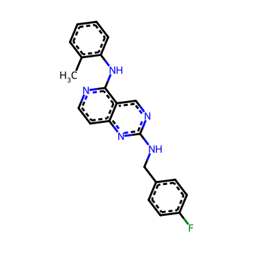 Cc1ccccc1Nc1nccc2nc(NCc3ccc(F)cc3)ncc12